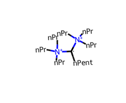 [CH2]CCCC[C]([N+](CCC)(CCC)CCC)[N+](CCC)(CCC)CCC